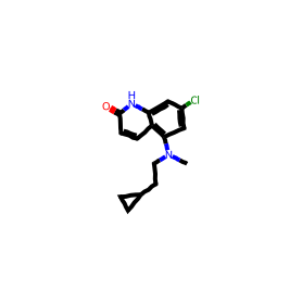 CN(CCC1CC1)c1cc(Cl)cc2[nH]c(=O)ccc12